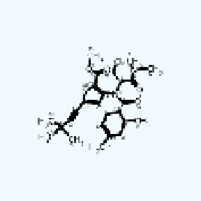 CC[C@@H](C(=O)N(C)C)N(C(=O)[C@H]1CC=C(C)C[C@@H]1C)c1cc(C#CC(C)(C)C)sc1C(=O)OC